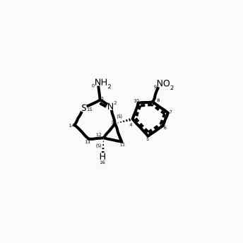 NC1=N[C@@]2(c3cccc([N+](=O)[O-])c3)C[C@H]2CCS1